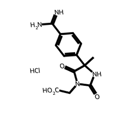 CC1(c2ccc(C(=N)N)cc2)NC(=O)N(CC(=O)O)C1=O.Cl